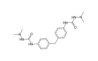 CN(C)NC(=O)Nc1ccc(Cc2ccc(NC(=O)NN(C)C)cc2)cc1